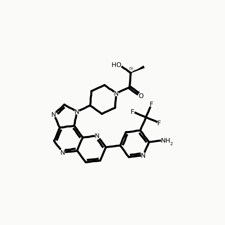 C[C@H](O)C(=O)N1CCC(n2cnc3cnc4ccc(-c5cnc(N)c(C(F)(F)F)c5)nc4c32)CC1